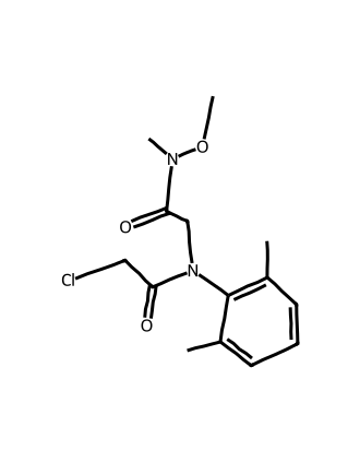 CON(C)C(=O)CN(C(=O)CCl)c1c(C)cccc1C